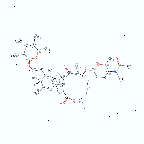 CC[C@H]1CCC[C@H](O[C@H]2CC[C@H](N(C)C(=O)C(C)C)C(C)O2)[C@@H](C)C(=O)C2=C[C@@H]3[C@@H](C=C(C)[C@@H]4C[C@@H](O[C@@H]5OC(C)[C@H](OC)C(OC)C5OC)C[C@@H]34)[C@@H]2CC(=O)O1